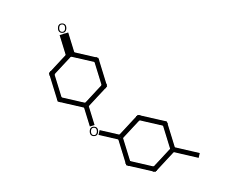 CC1CCC(OC2CCC(=O)CC2)CC1